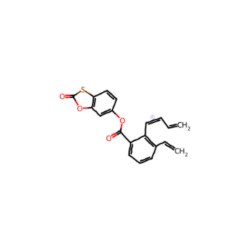 C=C/C=C\c1c(C=C)cccc1C(=O)Oc1ccc2sc(=O)oc2c1